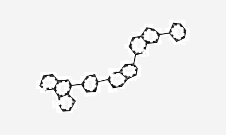 c1ccc(-c2ccc3ccc(-c4ccc5ccc(-c6ccc(-c7cc8cccnc8c8ncccc78)cc6)nc5c4)nc3c2)cc1